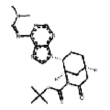 CN(C)/C=N\c1ncnc2c1ncn2[C@@H]1CC[C@H]2CC(=O)N(C(=O)OC(C)(C)C)[C@@H]1C2